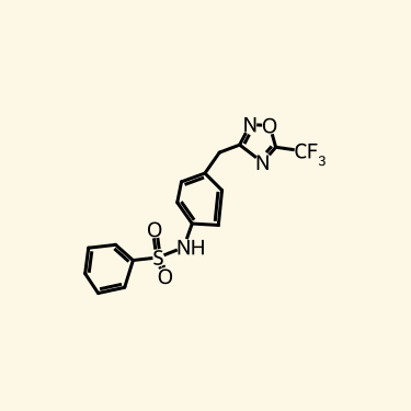 O=S(=O)(Nc1ccc(Cc2noc(C(F)(F)F)n2)cc1)c1ccccc1